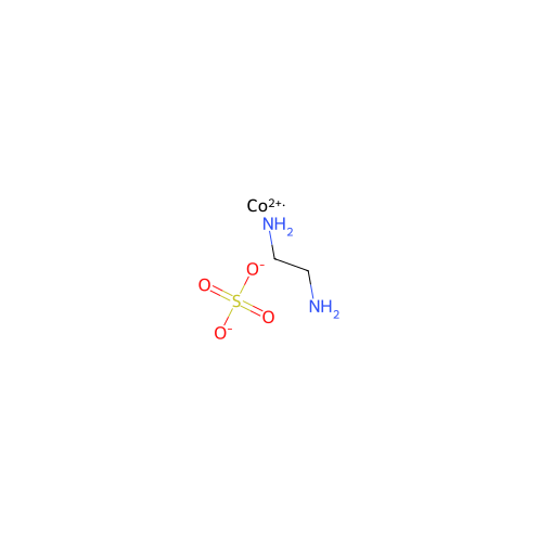 NCCN.O=S(=O)([O-])[O-].[Co+2]